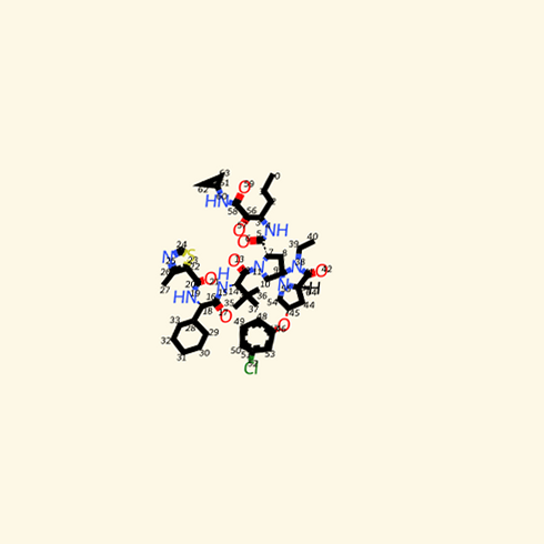 CCCC(NC(=O)[C@@H]1CC2(CN1C(=O)[C@@H](NC(=O)[C@@H](NC(=O)c1scnc1C)C1CCCCC1)C(C)(C)C)N(CC)C(=O)[C@@H]1C[C@H](Oc3cccc(Cl)c3)CN12)C(=O)C(=O)NC1CC1